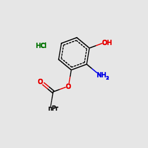 CCCC(=O)Oc1cccc(O)c1N.Cl